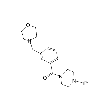 CC(C)N1CCN(C(=O)c2cccc(CN3CCOCC3)c2)CC1